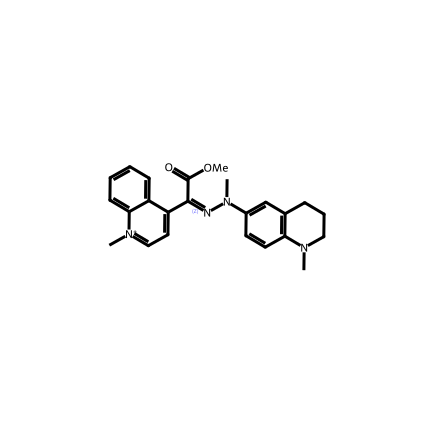 COC(=O)/C(=N\N(C)c1ccc2c(c1)CCCN2C)c1cc[n+](C)c2ccccc12